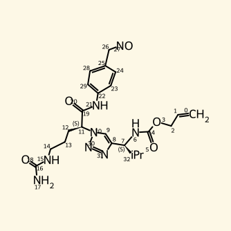 C=CCOC(=O)N[C@H](c1cn([C@@H](CCCNC(N)=O)C(=O)Nc2ccc(CN=O)cc2)nn1)C(C)C